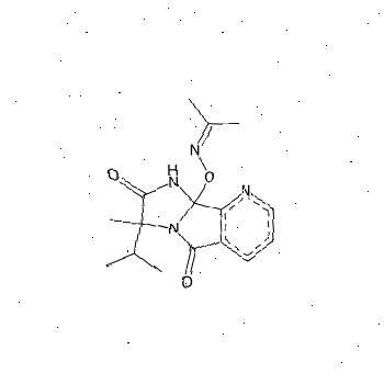 CC(C)=NOC12NC(=O)C(C)(C(C)C)N1C(=O)c1cccnc12